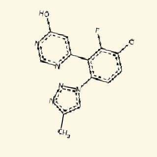 Cc1cn(-c2ccc(Cl)c(F)c2-c2cc(O)ncn2)nn1